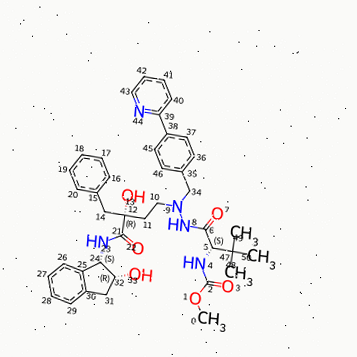 COC(=O)N[C@H](C(=O)NN(CC[C@](O)(Cc1ccccc1)C(=O)N[C@H]1c2ccccc2C[C@H]1O)Cc1ccc(-c2ccccn2)cc1)C(C)(C)C